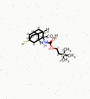 C[Si](C)(C)CCOC(=O)N[C@]1(C(=O)O)[C@@H]2CC3C[C@H]1C[C@@](F)(C3)C2